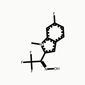 Cn1c(/C(=N\O)C(F)(F)F)cc2ccc(F)cc21